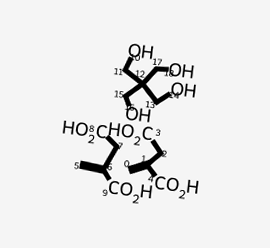 C=C(CC(=O)O)C(=O)O.C=C(CC(=O)O)C(=O)O.OCC(CO)(CO)CO